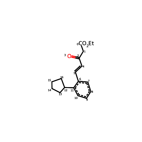 CCOC(=O)CC(=O)C=Cc1ccccc1C1CCCC1